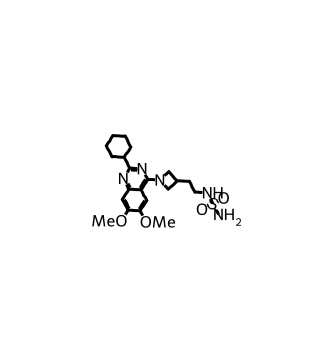 COc1cc2nc(C3CCCCC3)nc(N3CC(CCNS(N)(=O)=O)C3)c2cc1OC